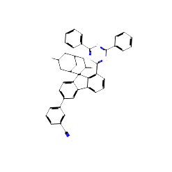 CC1CC2CC(C)C3(c4ccc(-c5cccc(C#N)c5)cc4-c4cccc(-c5nc(-c6ccccc6)nc(-c6ccccc6)n5)c43)C(C1)C2